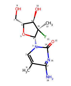 Cc1cn([C@@H]2O[C@H](CO)[C@@H](O)[C@@]2(C)F)c(=O)nc1N